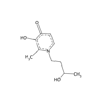 Cc1c(O)c(=O)ccn1CCC(C)O